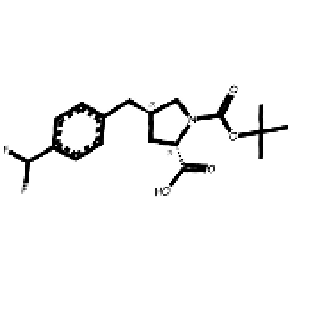 CC(C)(C)OC(=O)N1C[C@H](Cc2ccc(C(F)F)cc2)C[C@H]1C(=O)O